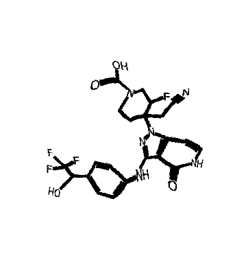 N#CCC1(n2nc(Nc3ccc(C(O)C(F)(F)F)cc3)c3c(=O)[nH]ccc32)CCN(C(=O)O)CC1F